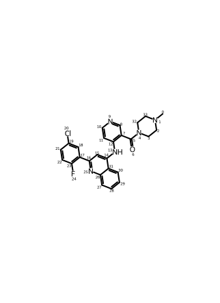 CN1CCN(C(=O)c2cnccc2Nc2cc(-c3cc(Cl)ccc3F)nc3ccccc23)CC1